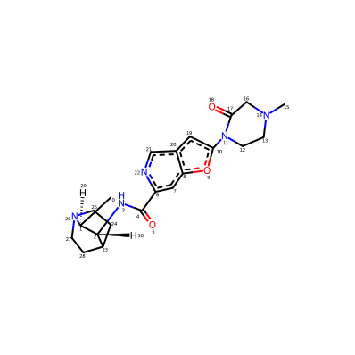 C[C@H]1[C@H](NC(=O)c2cc3oc(N4CCN(C)CC4=O)cc3cn2)C2CCN1CC2